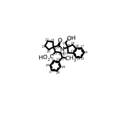 CC(CC(C(=O)O)C1(C(=O)NC2(CO)Cc3ccccc3C2)CCCC1)c1ccccc1